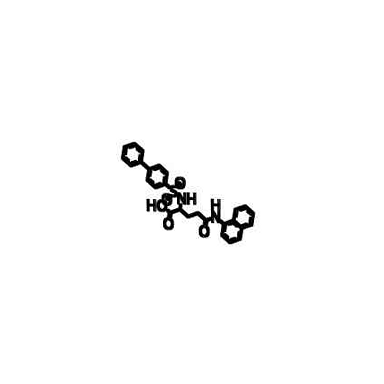 O=C(CCC(NS(=O)(=O)c1ccc(-c2ccccc2)cc1)C(=O)O)Nc1cccc2ccccc12